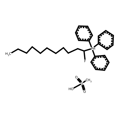 CCCCCCCCCCC(F)[PH](c1ccccc1)(c1ccccc1)c1ccccc1.CS(=O)(=O)O